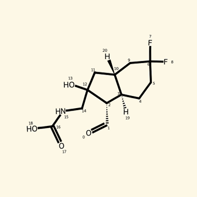 O=C[C@H]1[C@@H]2CCC(F)(F)C[C@H]2CC1(O)CNC(=O)O